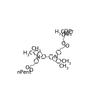 CCCCCOC(=O)CCc1ccc(N2c3ccc(-c4ccc5c(c4)Cc4cc(C)c(C)cc4N5c4ccc(CCC(=O)OCCCO[Si](C)(OC(C)C)C(C)C)cc4)cc3Cc3cc(C)c(C)cc32)cc1